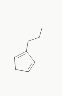 OCCC1=CCC=C1